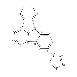 c1ccc2c(c1)c1cccc3c4cc(-n5ccnc5)ccc4n2c13